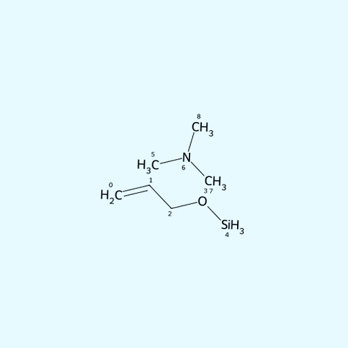 C=CCO[SiH3].CN(C)C